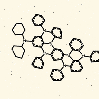 c1ccc(N2c3ccccc3B3c4cc5c(cc4N(c4ccccc4)c4cccc2c43)N(c2ccccc2)c2cc(N(C3CCCCC3)C3CCCCC3)cc3c2B5c2ccccc2N3c2ccccc2)cc1